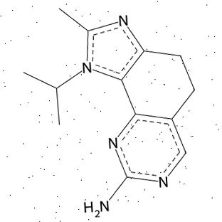 Cc1nc2c(n1C(C)C)-c1nc(N)ncc1CC2